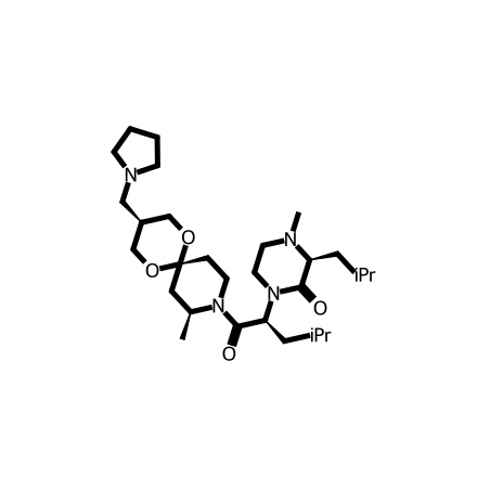 CC(C)C[C@H]1C(=O)N([C@@H](CC(C)C)C(=O)N2CC[C@]3(C[C@@H]2C)OC[C@H](CN2CCCC2)CO3)CCN1C